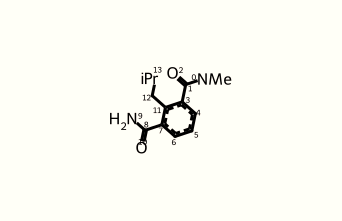 CNC(=O)c1cccc(C(N)=O)c1CC(C)C